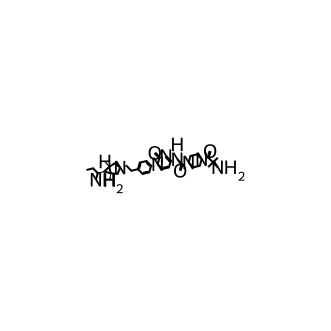 CCC(N)[C@H]1[C@@H]2CN(CCc3ccc(-n4ccc(NC(=O)N5CCN(C(=O)C(C)(C)N)CC5)nc4=O)cc3)C[C@@H]21